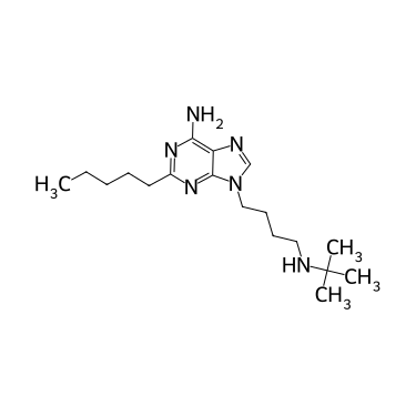 CCCCCc1nc(N)c2ncn(CCCCNC(C)(C)C)c2n1